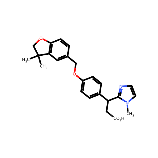 Cn1ccnc1C(CC(=O)O)c1ccc(OCc2ccc3c(c2)C(C)(C)CO3)cc1